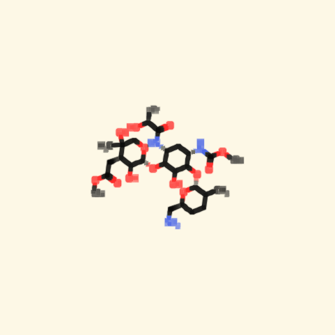 CCC[C@H](O)C(=O)N[C@@H]1C[C@H](NC(=O)OC(C)(C)C)C(O[C@H]2O[C@H](CN)CCC2C)C(O)C1O[C@H]1OCC(C)(O)[C@H](CC(=O)OC(C)(C)C)C1O